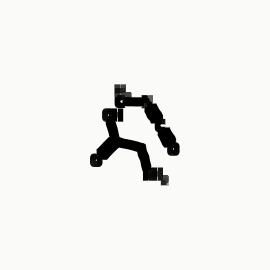 CN=C=O.NCC(=O)O